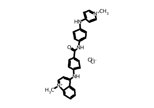 C[n+]1ccc(Nc2ccc(NC(=O)c3ccc(Nc4cc[n+](C)c5ccccc45)cc3)cc2)cc1.[Cl-].[Cl-]